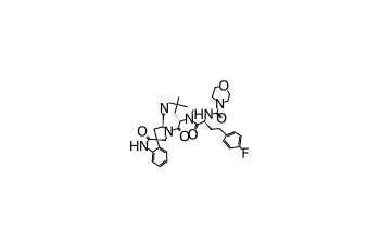 CN(C(=O)[C@H](CCc1ccc(F)cc1)NC(=O)N1CCOCC1)[C@@H](CC(C)(C)C)C(=O)N1C[C@]2(C[C@H]1C#N)C(=O)Nc1ccccc12